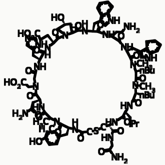 CCCC[C@H]1C(=O)N(C)[C@@H](CCCC)C(=O)N[C@@H](CC(C)C)C(=O)N[C@H](C(=O)NCC(N)=O)CSCC(=O)N[C@@H](Cc2ccc(O)cc2)C(=O)N(C)[C@@H](C)C(=O)N[C@@H](CC(N)=O)C(=O)N(CC(=O)O)CC(=O)N[C@@H](Cc2cnc[nH]2)C(=O)N[C@@H](CCC(=O)O)C(=O)N2C[C@H](O)C[C@H]2C(=O)N[C@@H](Cc2c[nH]c3ccccc23)C(=O)N[C@@H](CCN)C(=O)N[C@@H](Cc2c[nH]c3ccccc23)C(=O)N1C